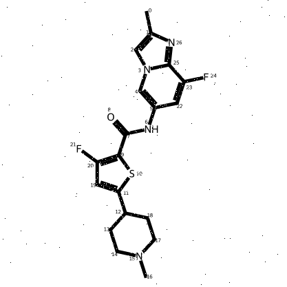 Cc1cn2cc(NC(=O)c3sc(C4CCN(C)CC4)cc3F)cc(F)c2n1